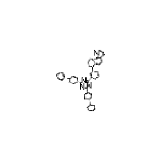 c1ccc(-c2ccc(-c3nc(-c4ccc(-c5ccccc5)cc4)nc(-c4cccc(-c5cccc6c5ccc5cccnc56)c4)n3)cc2)cc1